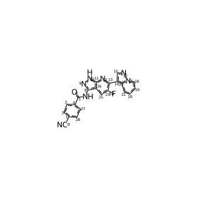 N#Cc1ccc(C(=O)Nc2n[nH]c3nc(-c4cnn5ccccc45)c(F)cc23)cc1